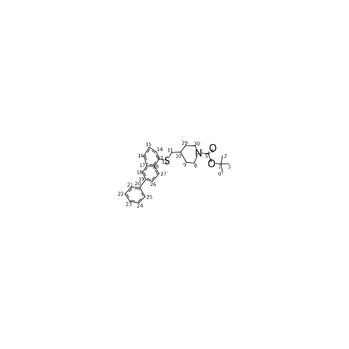 CC(C)(C)OC(=O)N1CCC(CSc2cccc3cc(-c4ccccc4)ccc23)CC1